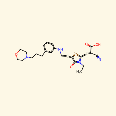 CCn1c(=C=C(C#N)C(=O)O)sc(=C=CNc2cccc(CCCN3CCOCC3)c2)c1=O